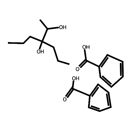 CCCC(O)(CCC)C(C)O.O=C(O)c1ccccc1.O=C(O)c1ccccc1